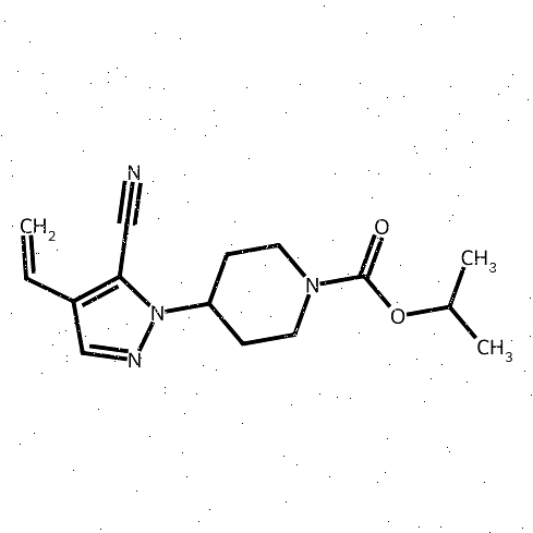 C=Cc1cnn(C2CCN(C(=O)OC(C)C)CC2)c1C#N